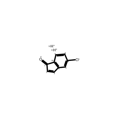 O=C1C=Cc2cc(Cl)ccc21.[H+].[H+]